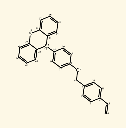 C=Cc1ccc(COc2ccc([S+]3c4ccccc4Sc4ccccc43)cc2)cc1